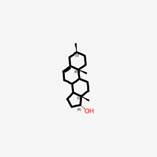 C[C@H]1CC[C@@]2(C)C(=CCC3C2CC[C@@]2(C)C3CC[C@H]2O)C1